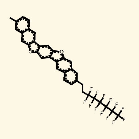 Cc1ccc2cc3c(cc2c1)oc1cc2c(cc13)oc1cc3cc(CCC(F)(F)C(F)(F)C(F)(F)C(F)(F)C(F)(F)C(F)(F)F)ccc3cc12